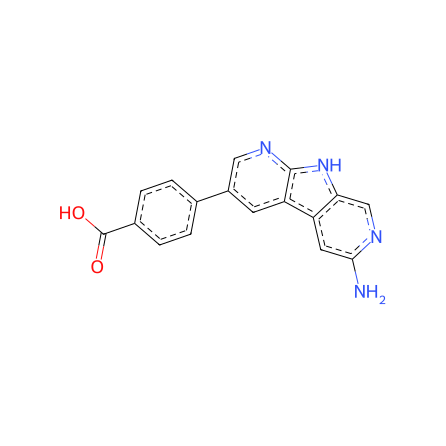 Nc1cc2c(cn1)[nH]c1ncc(-c3ccc(C(=O)O)cc3)cc12